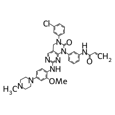 C=CC(=O)Nc1cccc(N2C(=O)N(c3cccc(Cl)c3)Cc3cnc(Nc4ccc(N5CCN(C)CC5)cc4OC)nc32)c1